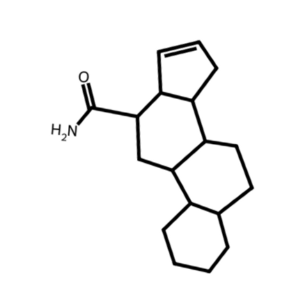 NC(=O)C1CC2C3CCCCC3CCC2C2CC=CC12